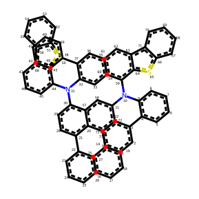 c1ccc(-c2ccccc2N(c2cc(-c3ccccc3)c3c(-c4ccccc4)ccc(N(c4ccccc4-c4ccccc4)c4cccc5c4sc4ccccc45)c3c2)c2cccc3c2sc2ccccc23)cc1